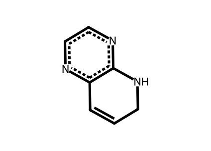 C1=Cc2nccnc2NC1